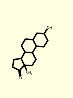 CC12CCC3C4CCC(O)CC4CCC3C1CCC2=O